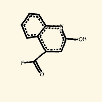 O=C(F)c1cc(O)nc2ccccc12